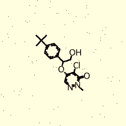 Cn1ncc(OC(CO)c2ccc(C(C)(C)C)cc2)c(Cl)c1=O